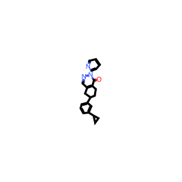 O=c1c2c(cnn1-c1ccccn1)CC(c1cccc(C3CC3)c1)CC2